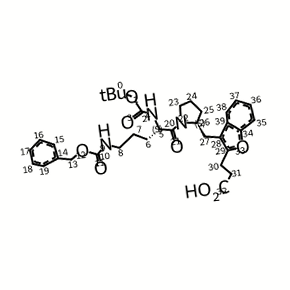 CC(C)(C)OC(=O)N[C@@H](CCCNC(=O)OCc1ccccc1)C(=O)N1CCC[C@H]1Cc1c(CCC(=O)O)oc2ccccc12